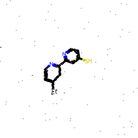 CCC1C=CN=C(c2cc(S)ccn2)C1